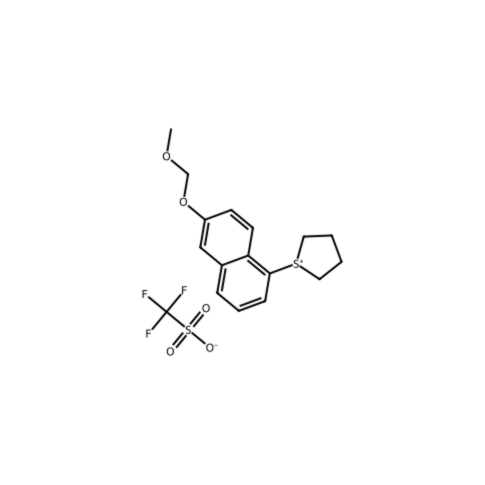 COCOc1ccc2c([S+]3CCCC3)cccc2c1.O=S(=O)([O-])C(F)(F)F